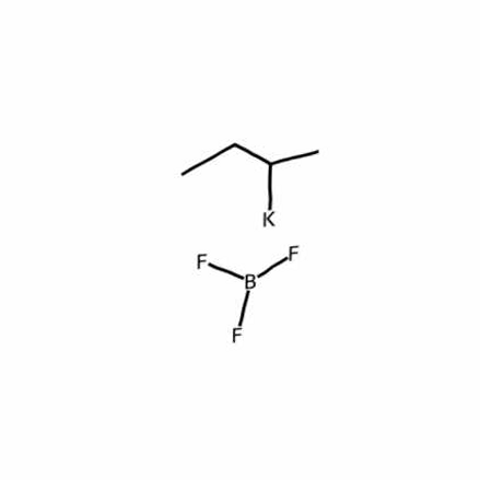 CC[CH](C)[K].FB(F)F